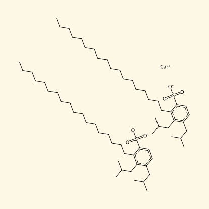 CCCCCCCCCCCCCCCCCCc1c(S(=O)(=O)[O-])ccc(CC(C)C)c1CC(C)C.CCCCCCCCCCCCCCCCCCc1c(S(=O)(=O)[O-])ccc(CC(C)C)c1CC(C)C.[Ca+2]